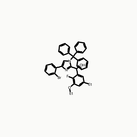 CCOc1cc(CC)cc(C(O)c2nc(-c3ccccc3Br)cn2C(c2ccccc2)(c2ccccc2)c2ccccc2)c1F